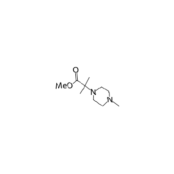 COC(=O)C(C)(C)N1CCN(C)CC1